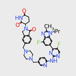 Cc1nc2c(F)cc(-c3nc(Nc4ccc(CN5CCN(Cc6ccc7c(c6)CN(C6CCC(=O)NC6=O)C7=O)CC5)cn4)ncc3F)cc2n1C(C)C